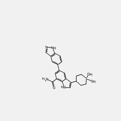 NC(=O)c1cc(-c2ccc3[nH]ncc3c2)cc2c(C3CCS(O)(O)CC3)c[nH]c12